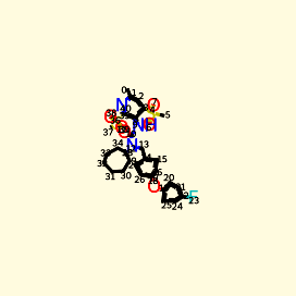 Cc1cc(S(C)(=O)=O)c(NC(=O)N(Cc2ccc(Oc3ccc(F)cc3)cc2)C2CCCCCC2)c(S(C)(=O)=O)n1